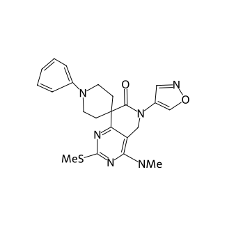 CNc1nc(SC)nc2c1CN(c1cnoc1)C(=O)C21CCN(c2ccccc2)CC1